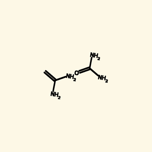 C=C(N)N.NC(N)=O